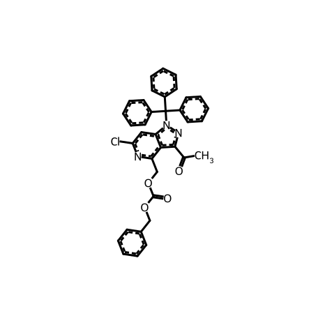 CC(=O)c1nn(C(c2ccccc2)(c2ccccc2)c2ccccc2)c2cc(Cl)nc(COC(=O)OCc3ccccc3)c12